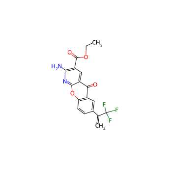 C=C(c1ccc2oc3nc(N)c(C(=O)OCC)cc3c(=O)c2c1)C(F)(F)F